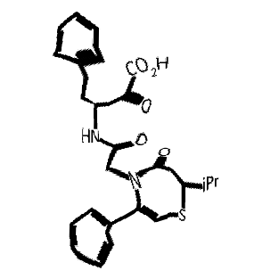 CC(C)C1SC=C(c2ccccc2)N(CC(=O)N[C@@H](Cc2ccccc2)C(=O)C(=O)O)C1=O